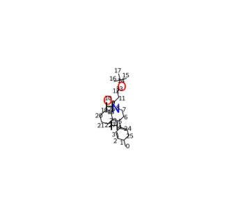 CC1C=CC([C@@H]2CCN(C(=O)CCOC(C)(C)C)[C@@H]3CCCC[C@H]32)=CC1